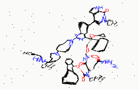 C#CCNC1(C)CCN(C2CCN(c3nc([C@@](COCNC(=O)[C@H](CC(N)=O)N(C)C(=O)OC4c5ccccc5-c5ccccc54)(OC4CC4)c4ccccc4)c4cc(-c5cn(C)c(=O)c6[nH]ccc56)ccc4n3)CC2)CC1